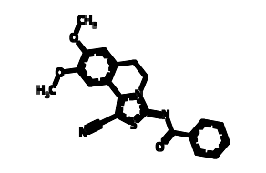 COc1cc2c(cc1OC)-c1c(C#N)s/c(=N\C(=O)c3ccccc3)n1CC2